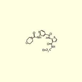 CCOC(=O)NC(=O)c1ccsc1NC(=O)c1ccnc(NC(=O)N2CCOCC2)c1